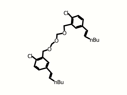 CCCCC=Cc1ccc(Cl)c(COCOCOCc2cc(C=CCCCC)ccc2Cl)c1